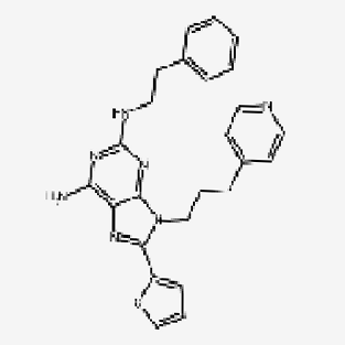 Nc1nc(NCCc2ccccc2)nc2c1nc(-c1ccco1)n2CCCc1ccncc1